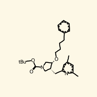 Cc1cc(C)nc(C[C@@H]2CN(C(=O)OC(C)(C)C)C[C@@H]2OCCCCc2ccccc2)c1